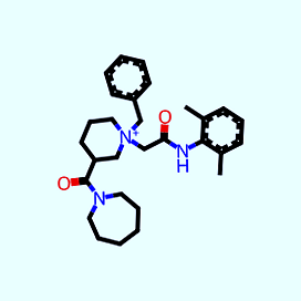 Cc1cccc(C)c1NC(=O)C[N+]1(Cc2ccccc2)CCCC(C(=O)N2CCCCCC2)C1